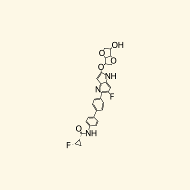 O=C(Nc1ccc(-c2ccc(-c3nc4cc(O[C@@H]5COC6C5OC[C@H]6O)[nH]c4cc3F)cc2)cc1)[C@@H]1C[C@@H]1F